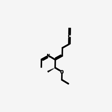 C=C=CC/C=C(\N=C/C)[C@@H](C)OCC